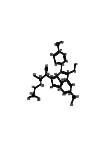 CCc1c(-c2ccc(OC)cc2)c2c(C(=O)N(C)CCN(C)C)cc3cc(OC)cc1n32